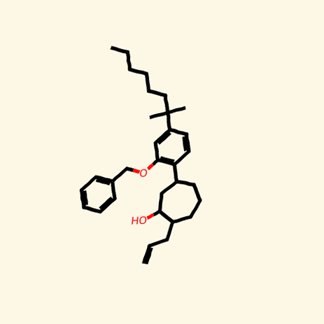 C=CCC1CCCC(c2ccc(C(C)(C)CCCCCC)cc2OCc2ccccc2)CC1O